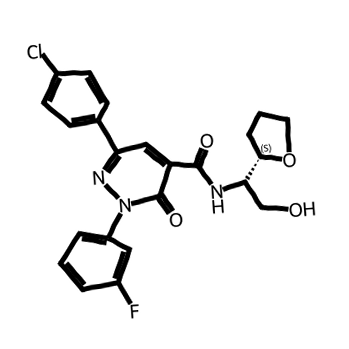 O=C(NC(CO)[C@@H]1CCCO1)c1cc(-c2ccc(Cl)cc2)nn(-c2cccc(F)c2)c1=O